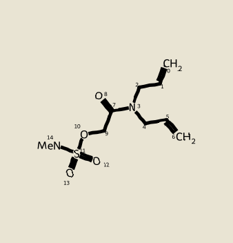 C=CCN(CC=C)C(=O)COS(=O)(=O)NC